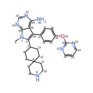 Cn1c(C2CCC3(CCNCC3)CC2)c(-c2ccc(Oc3ncccn3)cc2)c2c(N)ncnc21